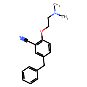 CN(C)CCOc1ccc(Cc2ccccc2)cc1C#N